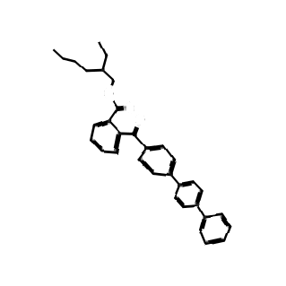 CCCCC(CC)COC(=O)c1ccccc1C(=O)c1ccc(-c2ccc(-c3ccccc3)cc2)cc1